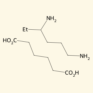 CCC(N)CCCN.O=C(O)CCCCC(=O)O